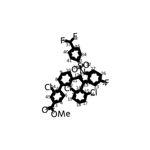 COC(=O)c1ccc(-c2cccc(-c3c(-c4c(Cl)cccc4Cl)c4cc(F)ccc4n3S(=O)(=O)c3ccc(C(F)F)cc3)c2)c(Cl)c1